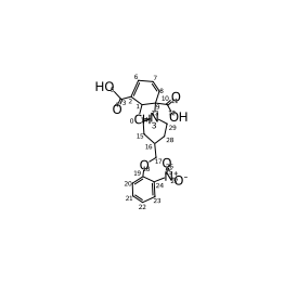 CC1C(C(=O)O)=CC=CC1(C(=O)O)N1CCC(COc2ccccc2[N+](=O)[O-])CC1